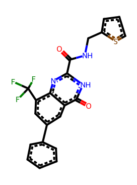 O=C(NCc1cccs1)c1nc2c(C(F)(F)F)cc(-c3ccccc3)cc2c(=O)[nH]1